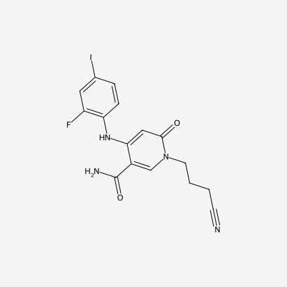 N#CCCCn1cc(C(N)=O)c(Nc2ccc(I)cc2F)cc1=O